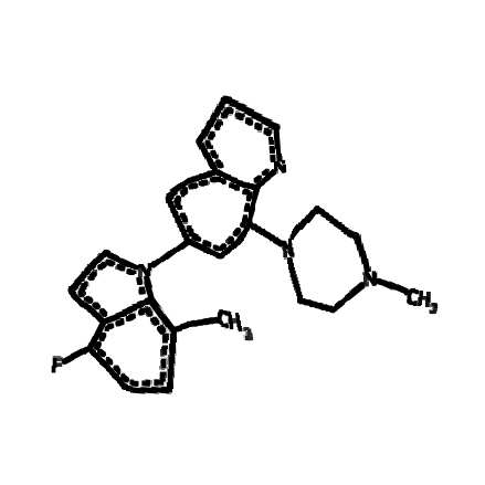 Cc1ccc(F)c2ccn(-c3cc(N4CCN(C)CC4)c4ncccc4c3)c12